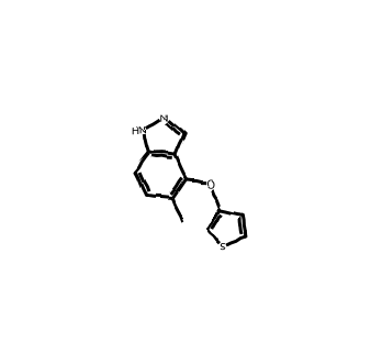 Cc1ccc2[nH]ncc2c1Oc1ccsc1